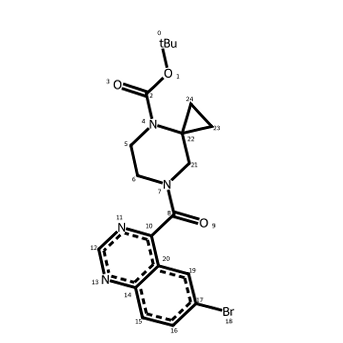 CC(C)(C)OC(=O)N1CCN(C(=O)c2ncnc3ccc(Br)cc23)CC12CC2